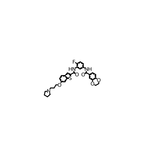 O=C(Nc1ccc(F)c(NC(=O)c2cc3ccc(OCCCN4CCCC4)cc3s2)c1)c1ccc2c(c1)OCCO2